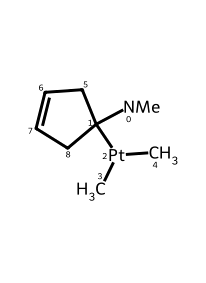 CN[C]1([Pt]([CH3])[CH3])CC=CC1